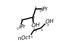 CC(C)CC(O)CC(C)C.CCCCCCCCCCO